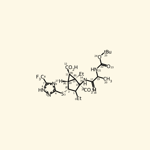 CCC1[C@H](Sc2n[nH]c(C(F)(F)F)n2)[C@@H]2[C@@H](C(=O)O)[C@@]2(CC)[C@]1(NC(=O)C(C)NC(=O)OC(C)(C)C)C(=O)O